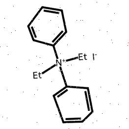 CC[N+](CC)(c1ccccc1)c1ccccc1.[I-]